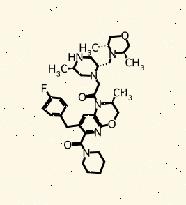 C[C@@H]1CN(CC(=O)N2c3cc(Cc4ccc(F)cc4)c(C(=O)N4CCCCC4)nc3OC[C@@H]2C)[C@@H](CN2[C@H](C)COC[C@H]2C)CN1